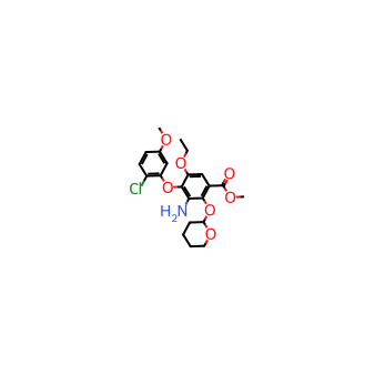 CCOc1cc(C(=O)OC)c(OC2CCCCO2)c(N)c1Oc1cc(OC)ccc1Cl